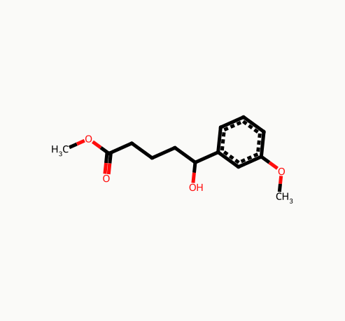 COC(=O)CCCC(O)c1cccc(OC)c1